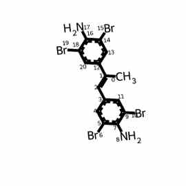 C/C(=C\c1cc(Br)c(N)c(Br)c1)c1cc(Br)c(N)c(Br)c1